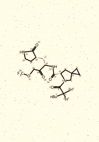 [2H]C([2H])(CCCC)C(=O)N1CC2(CC2)C[C@H]1C(=O)N[C@@H](C[C@@H]1CCNC1=O)C(=O)COC(F)(F)F